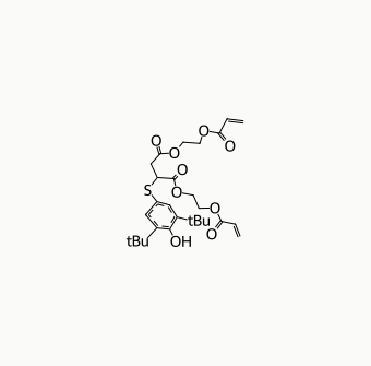 C=CC(=O)OCCOC(=O)CC(Sc1cc(C(C)(C)C)c(O)c(C(C)(C)C)c1)C(=O)OCCOC(=O)C=C